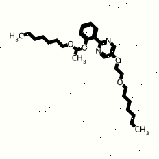 CCCCCCCOCCOc1cnc(-c2ccccc2OC(C)OCCCCCCC)nc1